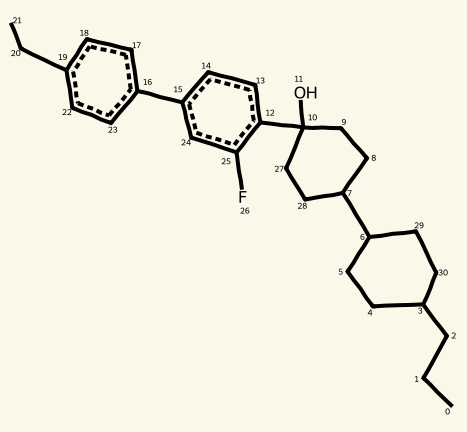 CCCC1CCC(C2CCC(O)(c3ccc(-c4ccc(CC)cc4)cc3F)CC2)CC1